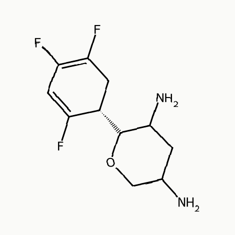 NC1COC([C@H]2CC(F)=C(F)C=C2F)C(N)C1